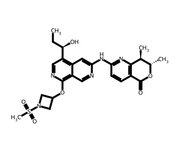 CC[C@@H](O)c1cnc(OC2CN(S(C)(=O)=O)C2)c2cnc(Nc3ccc4c(n3)[C@@H](C)[C@H](C)OC4=O)cc12